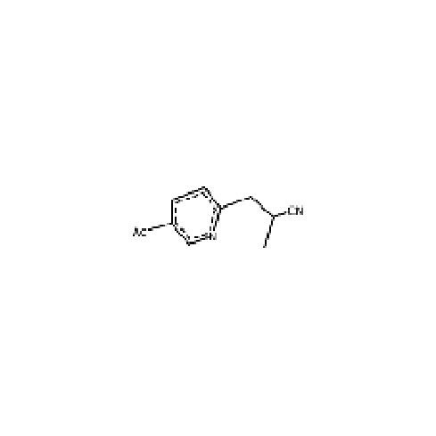 CC(=O)c1ccc(CC(C)C#N)nc1